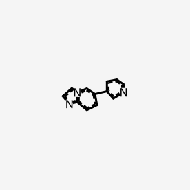 c1cncc(-c2ccc3nccn3c2)c1